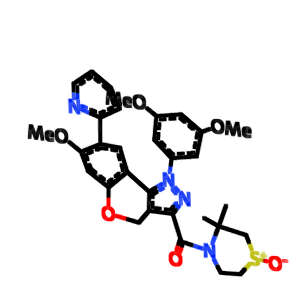 COc1cc(OC)cc(-n2nc(C(=O)N3CC[S+]([O-])CC3(C)C)c3c2-c2cc(-c4ccccn4)c(OC)cc2OC3)c1